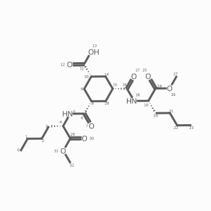 CCCC[C@H](NC(=O)[C@@H]1C[C@H](C(=O)O)C[C@H](C(=O)N[C@@H](CCCC)C(=O)OC)C1)C(=O)OC